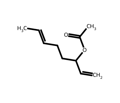 C=CC(CCC=CC)OC(C)=O